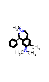 Cc1cc2c(cc1N(C)C)[C@@H](c1ccccc1)CN(C)CC2